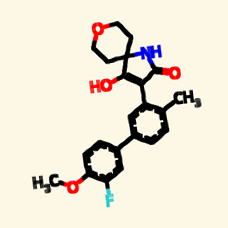 COc1ccc(-c2ccc(C)c(C3=C(O)C4(CCOCC4)NC3=O)c2)cc1F